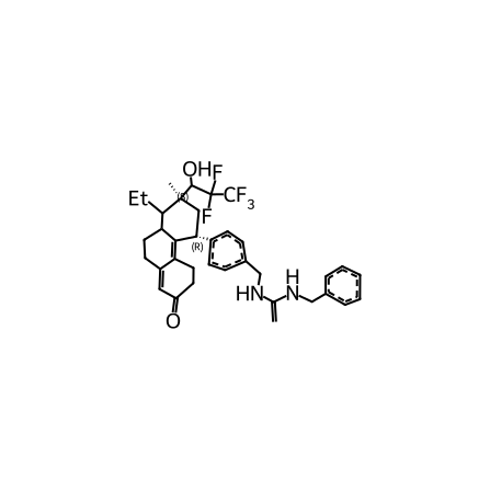 C=C(NCc1ccccc1)NCc1ccc([C@H]2C[C@](C)(C(O)C(F)(F)C(F)(F)F)C(CC)C3CCC4=CC(=O)CCC4=C32)cc1